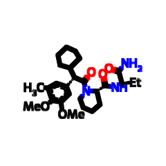 CC[C@@H](NC(=O)[C@@H]1CCCCN1C(=O)[C@H](c1cc(C)c(OC)c(OC)c1)C1CCCCC1)C(N)=O